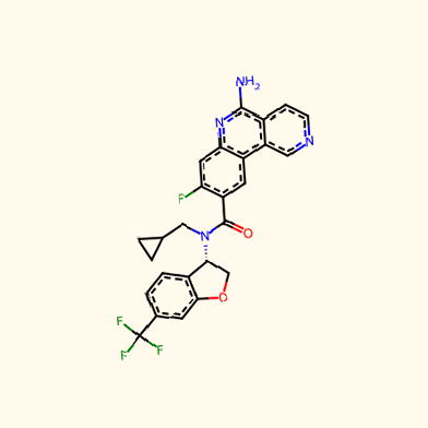 Nc1nc2cc(F)c(C(=O)N(CC3CC3)[C@@H]3COc4cc(C(F)(F)F)ccc43)cc2c2cnccc12